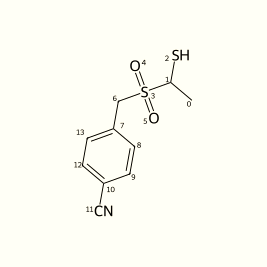 CC(S)S(=O)(=O)Cc1ccc(C#N)cc1